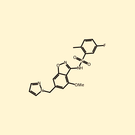 COc1cc(Cn2cccn2)cc2onc(NS(=O)(=O)c3cc(F)ccc3C)c12